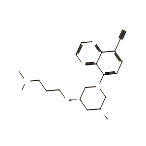 C[C@H]1C[C@@H](NCCC[S+](C)[O-])CN(c2ccc(C#N)c3nccnc23)C1